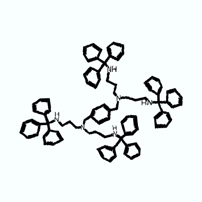 c1ccc(C(NCCCN(CCCNC(c2ccccc2)(c2ccccc2)c2ccccc2)Cc2ccc(CN(CCCNC(c3ccccc3)(c3ccccc3)c3ccccc3)CCCNC(c3ccccc3)(c3ccccc3)c3ccccc3)cc2)(c2ccccc2)c2ccccc2)cc1